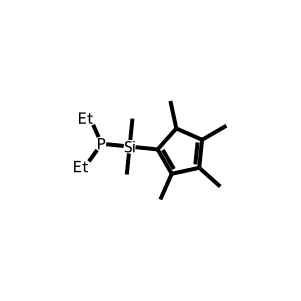 CCP(CC)[Si](C)(C)C1=C(C)C(C)=C(C)C1C